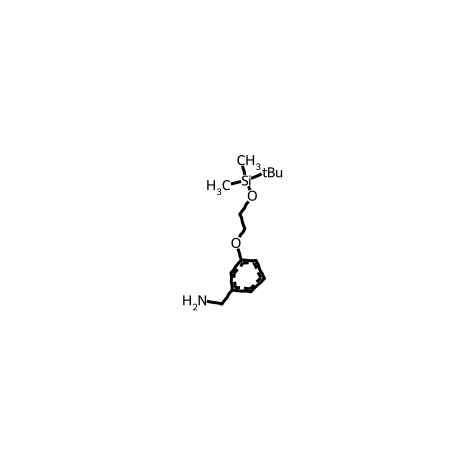 CC(C)(C)[Si](C)(C)OCCOc1cccc(CN)c1